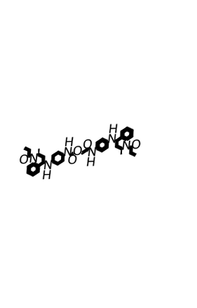 CCC(=O)N1c2ccccc2[C@H](Nc2ccc(NC(=O)COC(=O)NC3CCC(N[C@@H]4C[C@H](C)N(C(=O)CC)c5ccccc54)CC3)cc2)C[C@@H]1C